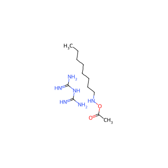 CCCCCCCCNOC(C)=O.N=C(N)NC(=N)N